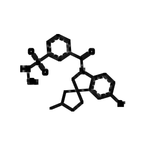 CC1CCC2(C1)CN(C(=O)c1cccc(S(=O)(=O)NC(C)(C)C)c1)c1ccc(Br)cc12